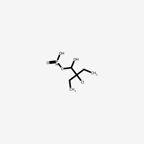 CCC(Cl)(CC)C(O)O[PH](=O)O